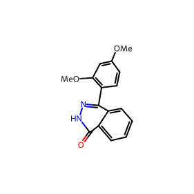 COc1ccc(-c2n[nH]c(=O)c3ccccc23)c(OC)c1